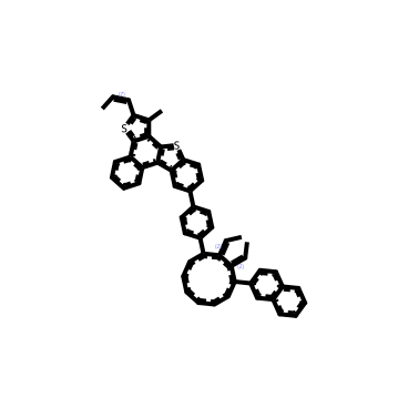 C/C=C\c1sc2c3ccccc3c3c4cc(-c5ccc(-c6ccccccc(-c7ccc8ccccc8c7)c(=C/C)/c6=C\C)cc5)ccc4sc3c2c1C